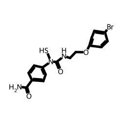 NC(=O)c1ccc(N(S)C(=O)NCCOc2ccc(Br)cc2)cc1